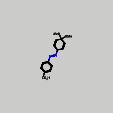 CNC1(NC)C=CC(/N=N/c2ccc(C(=O)O)cc2)C=C1